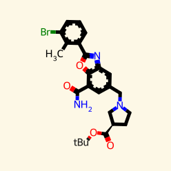 Cc1c(Br)cccc1-c1nc2cc(CN3CC[C@@H](C(=O)OC(C)(C)C)C3)cc(C(N)=O)c2o1